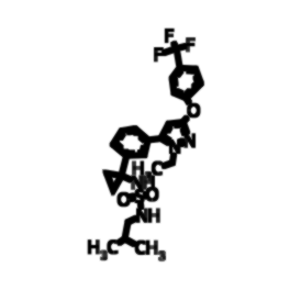 CCn1nc(Oc2ccc(C(F)(F)F)cc2)cc1-c1cccc(C2(NS(=O)(=O)NCC(C)C)CC2)c1